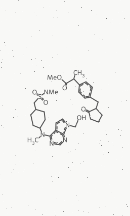 CNS(=O)(=O)CC1CCC(N(C)c2ncnc3c2ccn3CO)CC1.COC(=O)C(C)c1ccc(CC2CCCC2=O)cc1